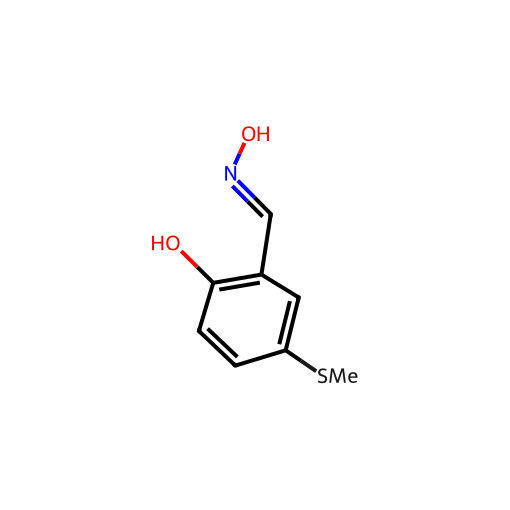 CSc1ccc(O)c(/C=N/O)c1